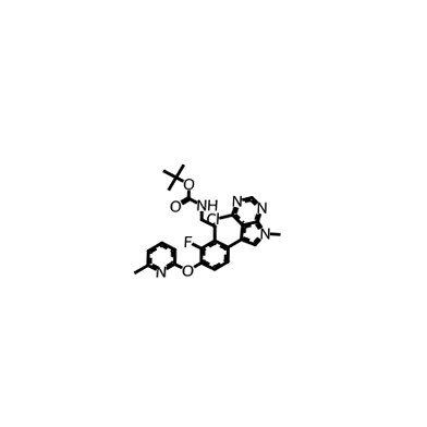 Cc1cccc(Oc2ccc(-c3cn(C)c4ncnc(Cl)c34)c(CCNC(=O)OC(C)(C)C)c2F)n1